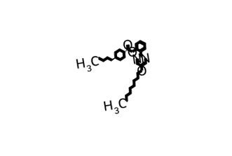 CCCCCCCCCOc1cnc(-c2ccccc2OC(=O)[C@H]2CC[C@H](CCCCC)CC2)nc1